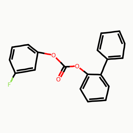 O=C(Oc1cccc(F)c1)Oc1ccccc1-c1ccccc1